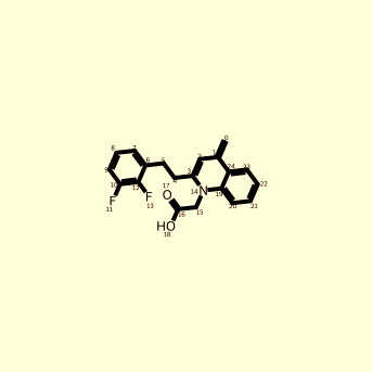 C=C1C=C(CCc2cccc(F)c2F)N(CC(=O)O)c2ccccc21